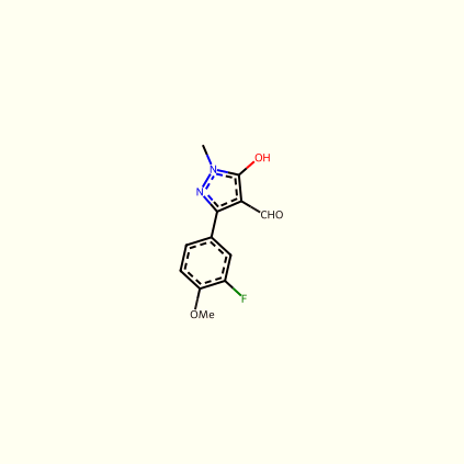 COc1ccc(-c2nn(C)c(O)c2C=O)cc1F